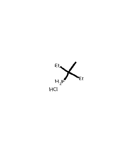 CCC(C)(P)CC.Cl